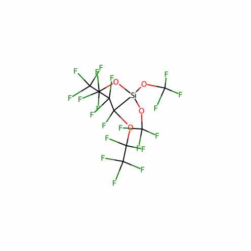 FC(F)(F)O[Si](OC(F)(F)F)(OC(F)(F)F)C(F)(OC(F)(F)C(F)(F)F)C(F)(F)C(F)(F)F